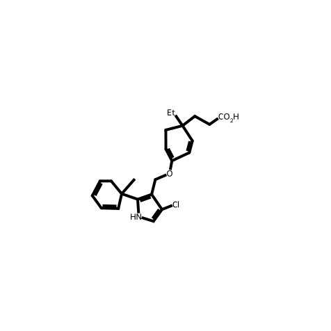 CCC1(CCC(=O)O)C=CC(OCc2c(Cl)c[nH]c2C2(C)C=CC=CC2)=CC1